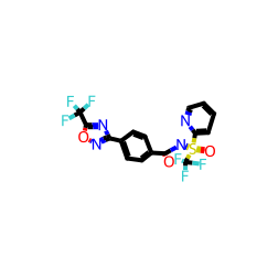 O=C(N=S(=O)(c1ccccn1)C(F)(F)F)c1ccc(-c2noc(C(F)(F)F)n2)cc1